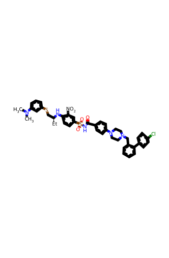 CC[C@H](CSc1cccc(N(C)C)c1)Nc1ccc(S(=O)(=O)NC(=O)c2ccc(N3CCN(Cc4ccccc4-c4ccc(Cl)cc4)CC3)cc2)cc1[N+](=O)[O-]